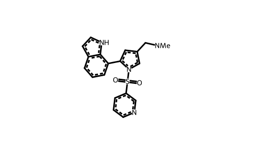 CNCc1cc(-c2cccc3cc[nH]c23)n(S(=O)(=O)c2cccnc2)c1